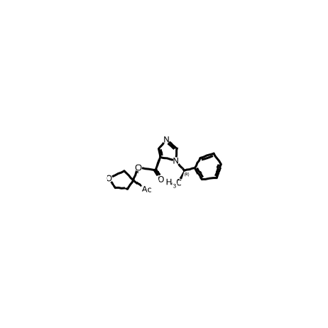 CC(=O)C1(OC(=O)c2cncn2[C@H](C)c2ccccc2)CCOC1